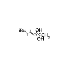 CCC(C)C/C=C/C(O)C(C)O